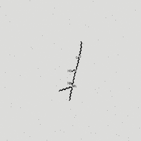 CCCCCCCCCOC(=O)CCCCCCCN(CCO)CCCCCCCC(=N)NC(CCCCCCCC)CCCCCCCC